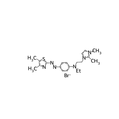 CCN(CCn1cc[n+](C)c1C)c1ccc(/N=N/c2nc(C)c(C)s2)cc1.[Br-]